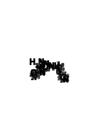 Nc1nc(NCC2CCCN2Cc2ccncc2)cc2nc(-c3ccco3)nn12